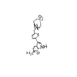 Cn1ccc2c(-c3ccc(CN4CCC5(CCO5)CC4)cc3)c[nH]c2c1=O